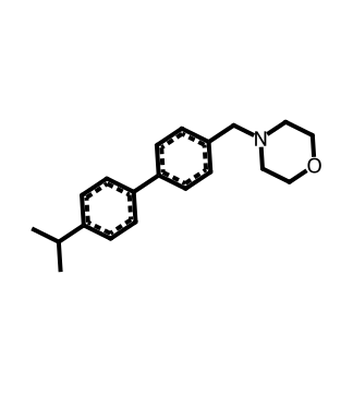 CC(C)c1ccc(-c2ccc(CN3CCOCC3)cc2)cc1